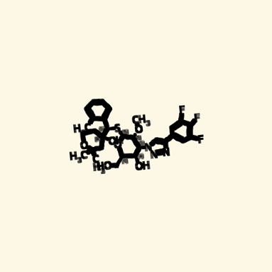 CO[C@@H]1[C@@H](n2cc(-c3cc(F)c(F)c(F)c3)nn2)[C@@H](O)[C@@H](CO)O[C@H]1S[C@H](c1ccccc1C)[C@@]1(O)CCOC(C)(C)C1